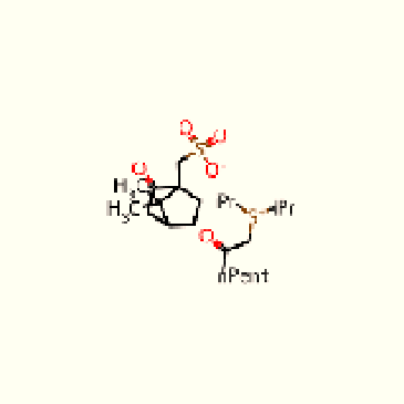 CC1(C)C2CCC1(CS(=O)(=O)[O-])C(=O)C2.CCCCCC(=O)C[S+](C(C)C)C(C)C